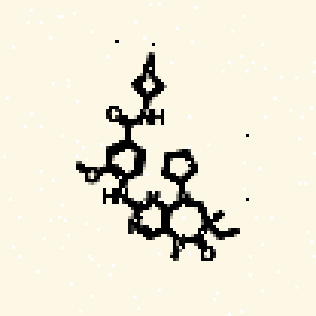 CCC1(C)CN(C2CCCC2)c2nc(Nc3ccc(C(=O)NC4CN(C)C4)cc3OC)ncc2N(C)C1=O